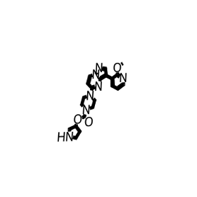 COc1ncccc1-c1cnn2ccc(N3CCN(C(=O)OC4CCNC4)CC3)nc12